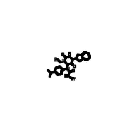 CC(C)C[C@@H]1C(=O)NC(C2Cc3ccccc3C2)C(=O)N1[C@@H](C(=O)NC(C)C)c1ccc(N(C)C)cc1